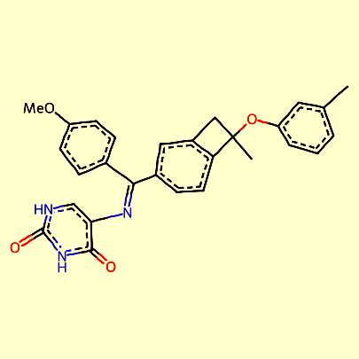 COc1ccc(C(=Nc2c[nH]c(=O)[nH]c2=O)c2ccc3c(c2)CC3(C)Oc2cccc(C)c2)cc1